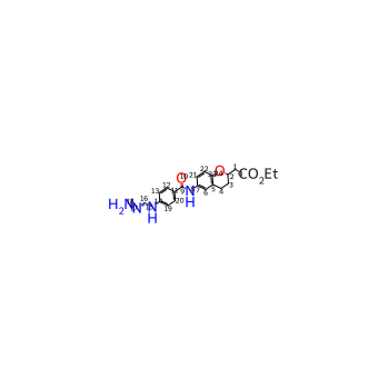 CCOC(=O)CC1CCc2cc(NC(=O)c3ccc(NC=NN)cc3)ccc2O1